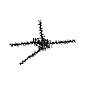 CCCCCCCCCCCCCCCCCC(=O)NC(CO)(CO)CO[Si](CCC[N+](C)(C)CCCCCCCCCCC)(OCC(CO)(CO)NC(=O)CCCCCCCCCCCCCCCCC)OCC(CO)(CO)NC(=O)CCCCCCCCCCCCCCCCC